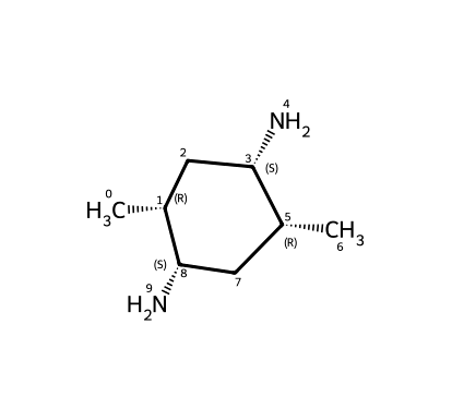 C[C@@H]1C[C@H](N)[C@H](C)C[C@@H]1N